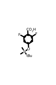 CC(C)(C)[Si](C)(C)Oc1cc(F)c(C(=O)O)c(F)c1